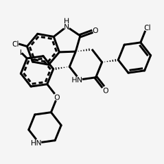 O=C1N[C@H](c2cc(I)ccc2OC2CCNCC2)[C@]2(C[C@@H]1C1C=CC=C(Cl)C1)C(=O)Nc1cc(Cl)ccc12